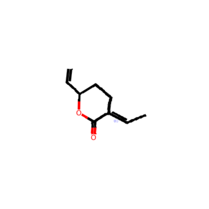 C=CC1CC/C(=C\C)C(=O)O1